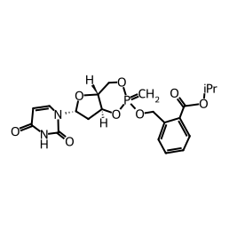 C=P1(OCc2ccccc2C(=O)OC(C)C)OC[C@H]2O[C@@H](n3ccc(=O)[nH]c3=O)C[C@@H]2O1